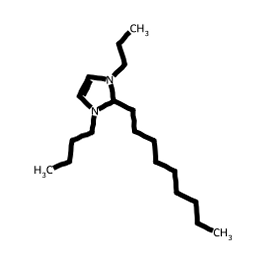 CCCCCCCCCC1N(CCC)C=CN1CCCC